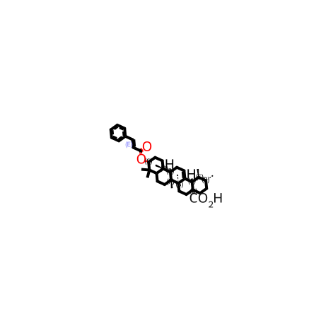 C[C@H]1[C@H](C)CC[C@]2(C(=O)O)CC[C@]3(C)C(=CC[C@@H]4[C@@]5(C)CC[C@H](OC(=O)/C=C/c6ccccc6)C(C)(C)C5CC[C@]43C)[C@H]12